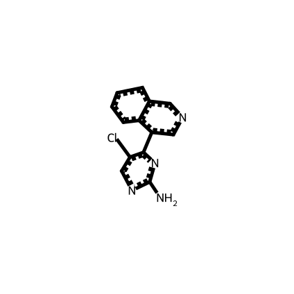 Nc1ncc(Cl)c(-c2cncc3ccccc23)n1